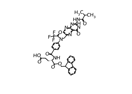 CC(C)C(=O)Nc1nc2ncc(CN(C(=O)C(F)(F)F)c3ccc(C(=O)N[C@@H](CCC(=O)O)C(=O)OCC4c5ccccc5-c5ccccc54)cc3)nc2c(=O)[nH]1